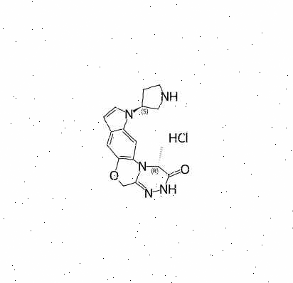 C[C@@H]1C(=O)NN=C2COc3cc4ccn([C@H]5CCNC5)c4cc3N21.Cl